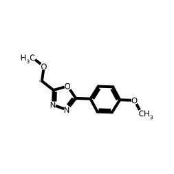 CO[CH]c1nnc(-c2ccc(OC)cc2)o1